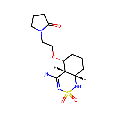 NC1=NS(=O)(=O)N[C@H]2CCC[C@@H](OCCN3CCCC3=O)[C@@H]12